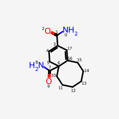 NC(=O)C1=CCC2(C(N)=O)CCCCCCC2=C1